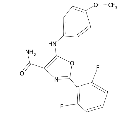 NC(=O)c1nc(-c2c(F)cccc2F)oc1Nc1ccc(OC(F)(F)F)cc1